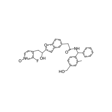 Cc1cc(CO)ccc1C(NC(=O)Cc1ccc2oc(C(O)Cc3cc[n+]([O-])cc3F)cc2c1)c1ccccc1